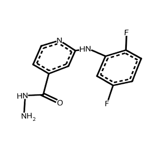 NNC(=O)c1ccnc(Nc2cc(F)ccc2F)c1